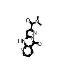 CN(C)C(=O)c1cc2[nH]c3ncccc3c(=O)n2n1